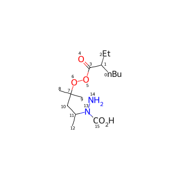 CCCCC(CC)C(=O)OOC(C)(C)CC(C)N(N)C(=O)O